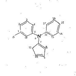 Cc1cccc(N(C2=CC=CC2)c2ccccc2)c1